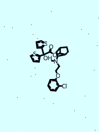 CN(CCOc1ccccc1Cl)C1CC2CCC1C2OC(=O)C(O)(c1cccs1)c1cccs1